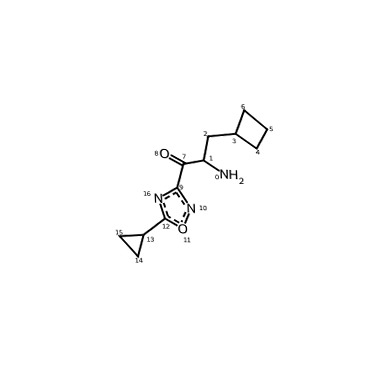 NC(CC1CCC1)C(=O)c1noc(C2CC2)n1